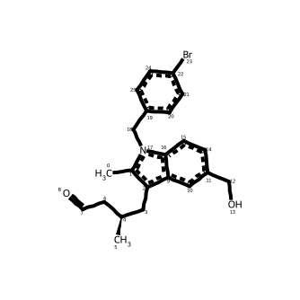 Cc1c(C[C@@H](C)CC=O)c2cc(CO)ccc2n1Cc1ccc(Br)cc1